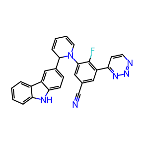 N#Cc1cc(-c2ccnnn2)c(F)c(N2C=CC=CC2c2ccc3[nH]c4ccccc4c3c2)c1